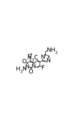 Cc1c(-c2cncc(CN)n2)c(F)cn2c(=O)n(N)c(=O)c(C3CC3)c12